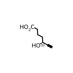 C#C[C@@H](O)CCCC(=O)O